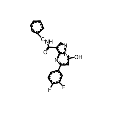 O=C(NCc1ccccc1)c1cnn2c(O)cc(-c3ccc(F)c(F)c3)nc12